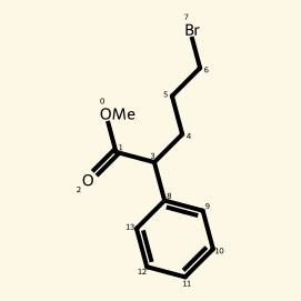 COC(=O)C(CCCBr)c1ccccc1